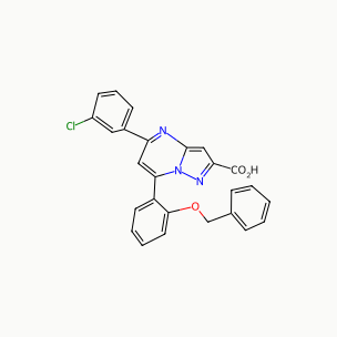 O=C(O)c1cc2nc(-c3cccc(Cl)c3)cc(-c3ccccc3OCc3ccccc3)n2n1